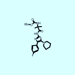 CC(C)(C)OC(=O)NC(C)(C)C(=O)Nc1nc(-c2ccc(F)cc2)c(N2CCCCC2)s1